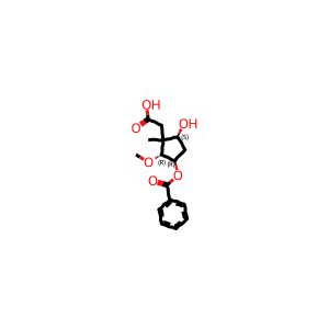 CO[C@H]1[C@H](OC(=O)c2ccccc2)C[C@H](O)C1(C)CC(=O)O